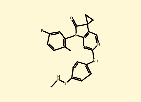 CNSc1ccc(Nc2ncc3c(n2)N(c2cc(F)ccc2C)C(=O)C32CC2)cc1